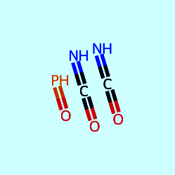 N=C=O.N=C=O.O=P